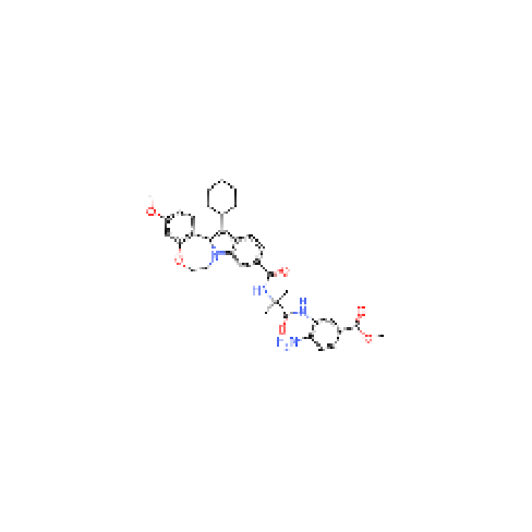 COC(=O)c1ccc(N)c(NC(=O)C(C)(C)NC(=O)c2ccc3c(C4CCCCC4)c4n(c3c2)CCOc2cc(OC)ccc2-4)c1